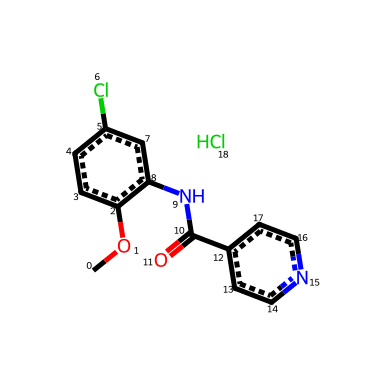 COc1ccc(Cl)cc1NC(=O)c1ccncc1.Cl